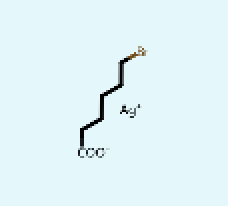 O=C([O-])CCCCCBr.[Ag+]